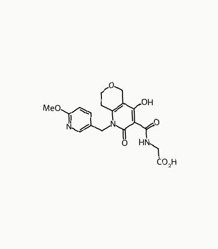 COc1ccc(Cn2c3c(c(O)c(C(=O)NCC(=O)O)c2=O)COCC3)cn1